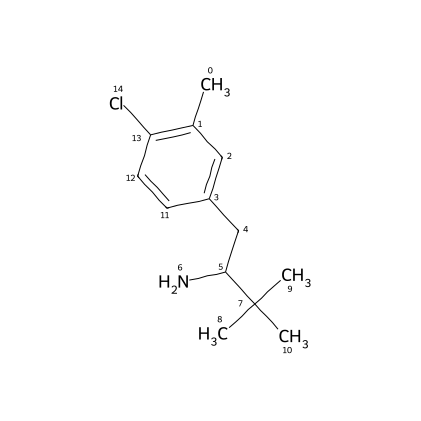 Cc1cc(CC(N)C(C)(C)C)ccc1Cl